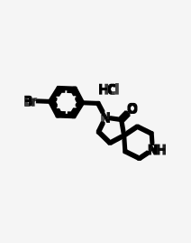 Cl.O=C1N(Cc2ccc(Br)cc2)CCC12CCNCC2